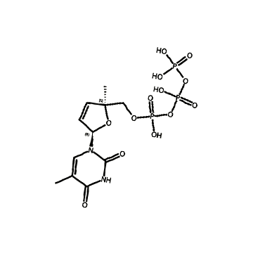 Cc1cn([C@H]2C=C[C@@](C)(COP(=O)(O)OP(=O)(O)OP(=O)(O)O)O2)c(=O)[nH]c1=O